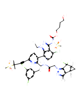 CC(C)(C#Cc1ccc(-c2ccc(Cl)c3c(N(C(=O)OCCCCO)S(C)(=O)=O)nn(CC(F)(F)F)c23)c([C@H](Cc2cc(F)cc(F)c2)NC(=O)Cn2nc(C(F)(F)F)c3c2C(F)(F)[C@@H]2C[C@H]32)n1)S(C)(=O)=O